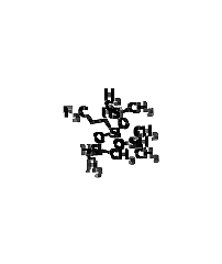 C[SiH](C)O[Si](CCC(F)(F)F)(O[SiH](C)C)O[SiH](C)C